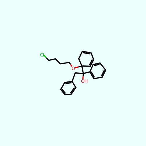 OC(Cc1ccccc1)(c1ccccc1)C1(OCCCCCl)C=CC=CC1